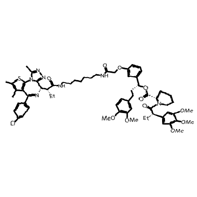 CC[C@H](C(=O)N1CCCC[C@H]1C(=O)O[C@H](CCc1ccc(OC)c(OC)c1)c1cccc(OCC(=O)NCCCCCCCNC(=O)[C@H](CC)[C@@H]2N=C(c3ccc(Cl)cc3)c3c(sc(C)c3C)-n3c(C)nnc32)c1)c1cc(OC)c(OC)c(OC)c1